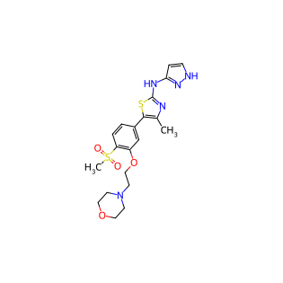 Cc1nc(Nc2cc[nH]n2)sc1-c1ccc(S(C)(=O)=O)c(OCCN2CCOCC2)c1